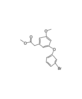 COC(=O)Cc1cc(OC)cc(Oc2cccc(Br)c2)c1